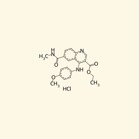 CCOC(=O)c1cnc2ccc(C(=O)NC)cc2c1Nc1ccc(OC)cc1.Cl